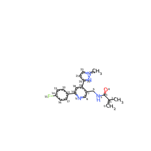 C=C(C)C(=O)NCc1cnc(-c2ccc(F)cc2)cc1-c1ccn(C)n1